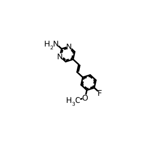 COc1cc(C=Cc2cnc(N)nc2)ccc1F